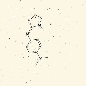 CN1CCSC1=Nc1ccc(N(C)C)cc1